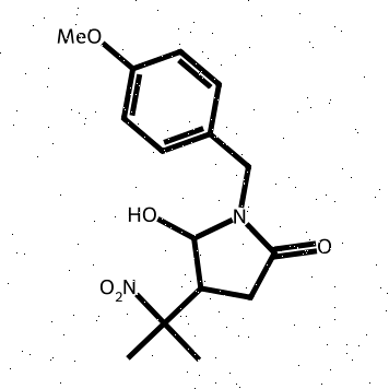 COc1ccc(CN2C(=O)CC(C(C)(C)[N+](=O)[O-])C2O)cc1